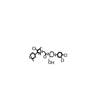 COc1cc(N2CCN(C(=O)Cn3nc(-c4ccnc(C)c4)c(Cl)c3C)[C@@H](CO)C2)ccc1Cl